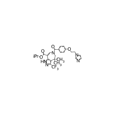 CC(C)OC(=O)C1=CN(C(=O)c2ccc(OCCn3ccnc3)cc2)CC(C)(C)c2c(C(F)(F)F)n[nH]c21